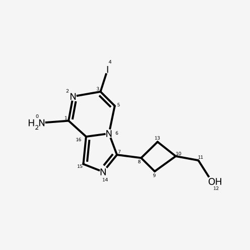 Nc1nc(I)cn2c(C3CC(CO)C3)ncc12